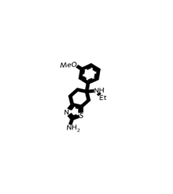 CCNC1(c2cccc(OC)c2)CCc2nc(N)sc2C1